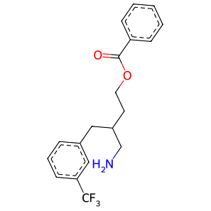 NCC(CCOC(=O)c1ccccc1)Cc1cccc(C(F)(F)F)c1